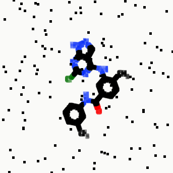 Cc1ccc(C(=O)Nc2cccc(C(F)(F)F)c2)cc1Nc1nc(Cl)nc2[nH]ncc12